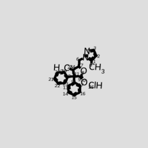 Cc1ccnn1CC1OC(=O)C(c2ccccc2)(c2ccccc2)C1C.Cl